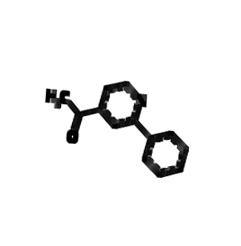 CC(=O)c1ccnc(-c2ccccc2)c1